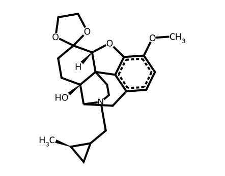 COc1ccc2c3c1O[C@H]1C4(CC[C@@]5(O)C(C2)N(CC2C[C@H]2C)CCC315)OCCO4